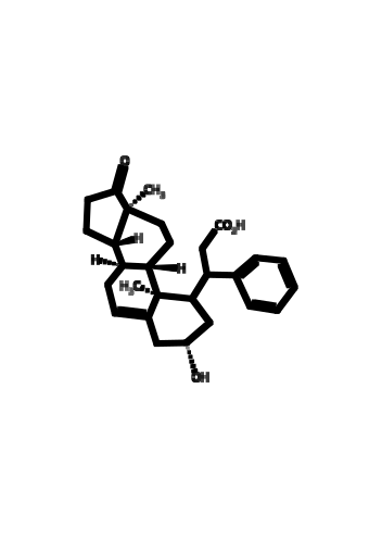 C[C@]12CC[C@H]3[C@@H](CC=C4C[C@@H](O)CC(C(CC(=O)O)c5ccccc5)[C@@]43C)[C@@H]1CCC2=O